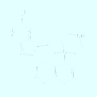 Clc1ccc2occ(CC[N+]3(c4cccc5c4CCOO5)CCNCC3)c2c1